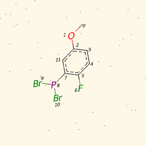 COc1ccc(F)c(P(Br)Br)c1